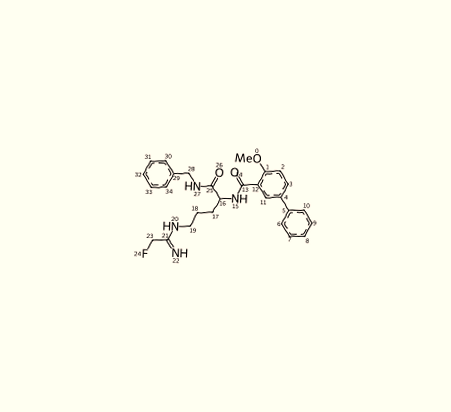 COc1ccc(-c2ccccc2)cc1C(=O)NC(CCCNC(=N)CF)C(=O)NCc1ccccc1